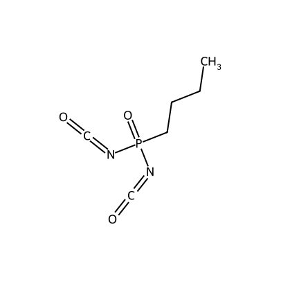 CCCCP(=O)(N=C=O)N=C=O